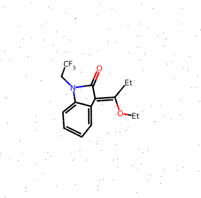 CCOC(CC)=C1C(=O)N(CC(F)(F)F)c2ccccc21